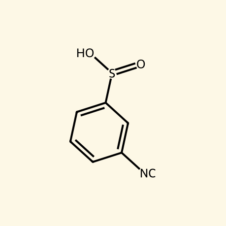 [C-]#[N+]c1cccc(S(=O)O)c1